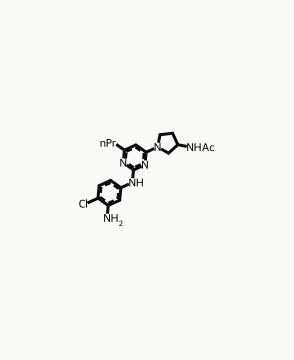 CCCc1cc(N2CCC(NC(C)=O)C2)nc(Nc2ccc(Cl)c(N)c2)n1